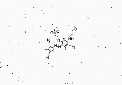 C=CS(=O)(=O)CCNc1nc(NCCCOC)c(C#N)c(C)c1/N=N/c1sc(C#N)c(C)c1C#N